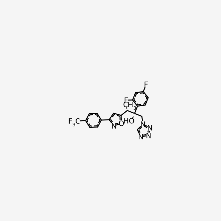 C[C@@H](c1cc(-c2ccc(C(F)(F)F)cc2)no1)[C@](O)(Cn1cnnn1)c1ccc(F)cc1F